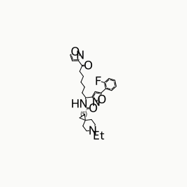 CCN1CCC2(CC1)C[C@@H]2C(=O)NC(CCCCCC(=O)c1ccon1)c1cc(-c2ccccc2F)on1